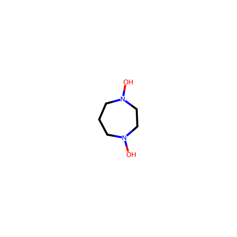 ON1CCCN(O)CC1